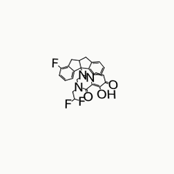 O=C1c2c(O)c(=O)ccn2N(C23c4ccccc4CC2Cc2c(F)cccc23)CN1CC(F)F